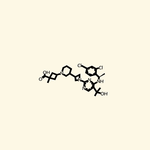 C[C@@H](Nc1nc(N2CC(C3CCCN(C4CC(C)(C(=O)O)C4)C3)C2)ncc1C(C)(C)O)c1ccc(Cl)cc1Cl